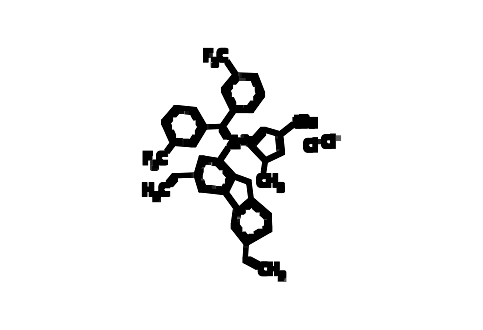 C=Cc1ccc2c(c1)-c1cc(C=C)c[c]([Zr+2]([C]3=CC(C(C)(C)C)=CC3C)=[C](c3cccc(C(F)(F)F)c3)c3cccc(C(F)(F)F)c3)c1C2.[Cl-].[Cl-]